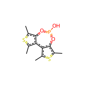 Cc1sc(C)c2c1op(O)oc1c(C)sc(C)c12